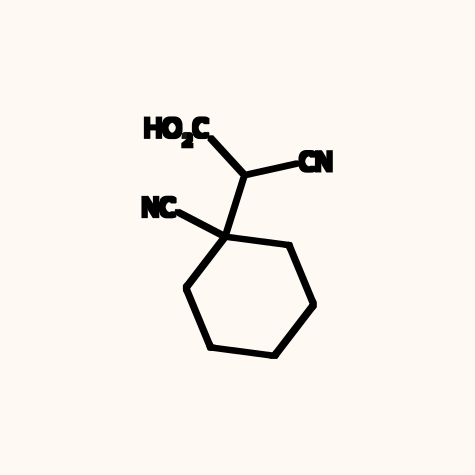 N#CC(C(=O)O)C1(C#N)CCCCC1